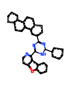 c1ccc(C2N=C(c3ccc4ccc5c6ccccc6ccc5c4c3)N=C(c3nccc4oc5ccccc5c34)N2)cc1